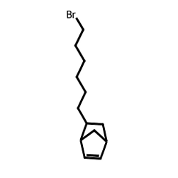 BrCCCCCCC1CC2C=CC1C2